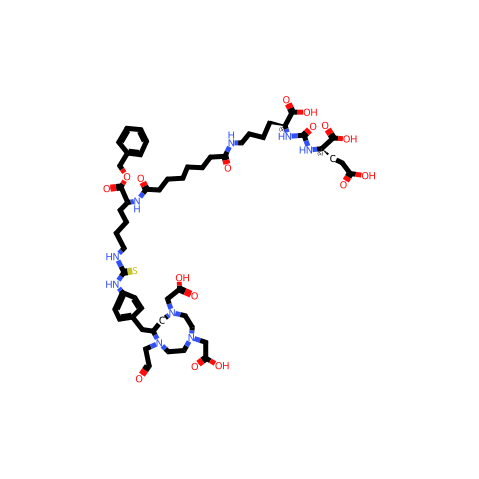 O=CCN1CCN(CC(=O)O)CCN(CC(=O)O)CC1Cc1ccc(NC(=S)NCCCCC(NC(=O)CCCCCCC(=O)NCCCC[C@H](NC(=O)N[C@@H](CCC(=O)O)C(=O)O)C(=O)O)C(=O)OCc2ccccc2)cc1